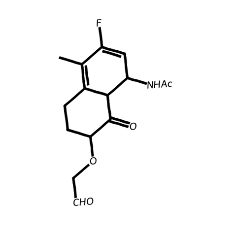 CC(=O)NC1C=C(F)C(C)=C2CCC(OCC=O)C(=O)C21